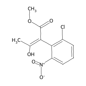 COC(=O)/C(=C(\C)O)c1c(Cl)cccc1[N+](=O)[O-]